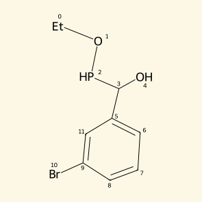 CCOPC(O)c1cccc(Br)c1